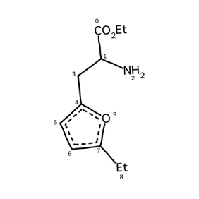 CCOC(=O)C(N)Cc1ccc(CC)o1